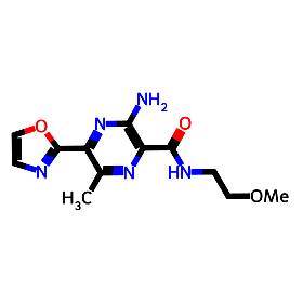 COCCNC(=O)c1nc(C)c(-c2ncco2)nc1N